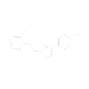 Fc1cccc(F)c1C=Cc1nc(-c2ccc(Cl)cc2)co1